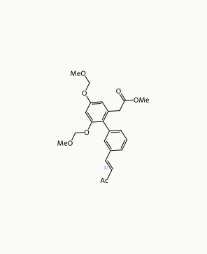 COCOc1cc(CC(=O)OC)c(-c2cccc(/C=C/C(C)=O)c2)c(OCOC)c1